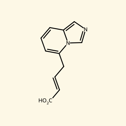 O=C(O)C=CCc1cccc2cncn12